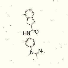 CN=C(C)N(C)c1ccc(NC(=O)C2=Cc3ccccc3C2)cc1